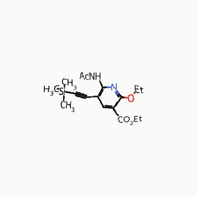 CCOC(=O)c1cc(C#C[Si](C)(C)C)c(NC(C)=O)nc1OCC